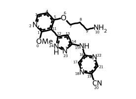 COc1nccc(OCCCN)c1-c1cc(Nc2cnc(C#N)cn2)n[nH]1